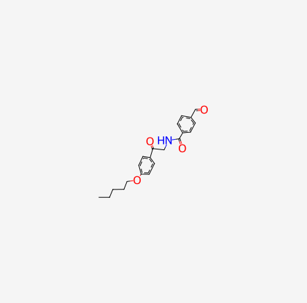 CCCCCOc1ccc(C(=O)CNC(=O)c2ccc(C=O)cc2)cc1